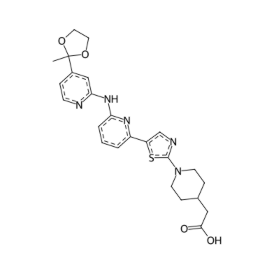 CC1(c2ccnc(Nc3cccc(-c4cnc(N5CCC(CC(=O)O)CC5)s4)n3)c2)OCCO1